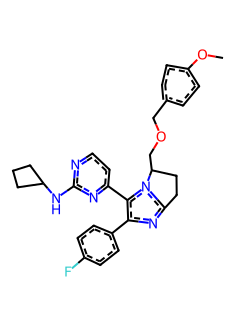 COc1ccc(COCC2CCc3nc(-c4ccc(F)cc4)c(-c4ccnc(NC5CCC5)n4)n32)cc1